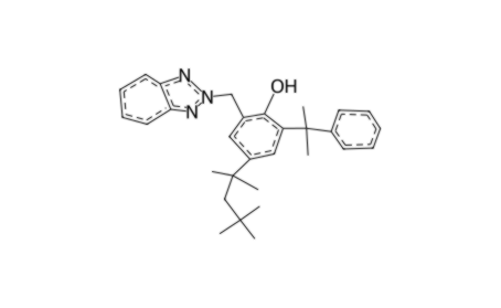 CC(C)(C)CC(C)(C)c1cc(Cn2nc3ccccc3n2)c(O)c(C(C)(C)c2ccccc2)c1